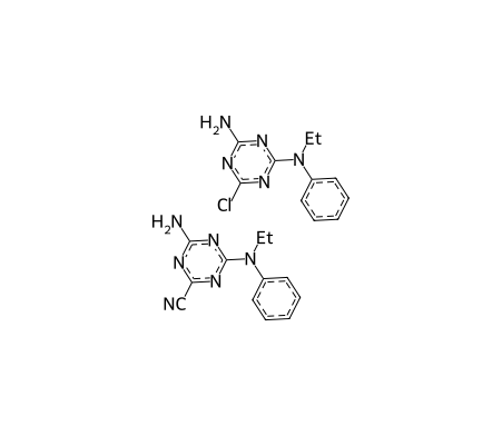 CCN(c1ccccc1)c1nc(N)nc(C#N)n1.CCN(c1ccccc1)c1nc(N)nc(Cl)n1